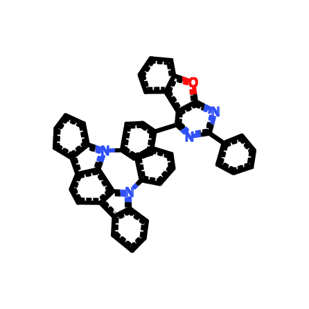 c1ccc(-c2nc(-c3ccc(-n4c5ccccc5c5ccc6c7ccccc7n(-c7ccccc7)c6c54)cc3)c3c(n2)oc2ccccc23)cc1